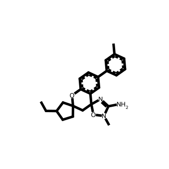 CCC1CCC2(C1)CC1(N=C(N)N(C)O1)c1cc(-c3cccc(C)c3)ccc1O2